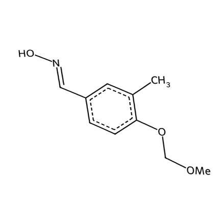 COCOc1ccc(/C=N/O)cc1C